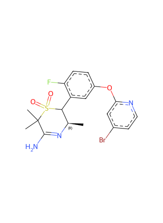 C[C@H]1N=C(N)C(C)(C)S(=O)(=O)C1c1cc(Oc2cc(Br)ccn2)ccc1F